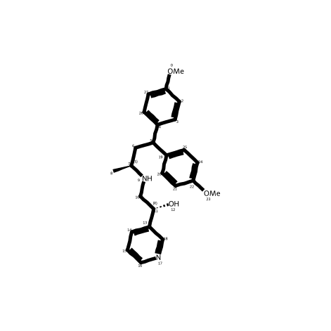 COc1ccc(C(C[C@H](C)NC[C@H](O)c2cccnc2)c2ccc(OC)cc2)cc1